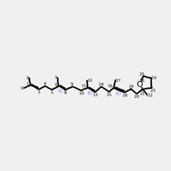 CC(C)=CCC/C(C)=C/CC/C(C)=C/CC/C(C)=C/CCC1(C)CCCO1